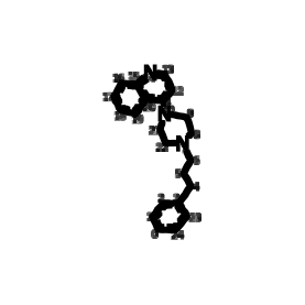 c1ccc(CCCN2CCN(c3ccnc4ccccc34)CC2)cc1